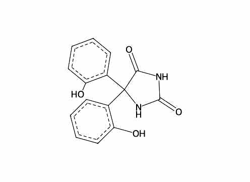 O=C1NC(=O)C(c2ccccc2O)(c2ccccc2O)N1